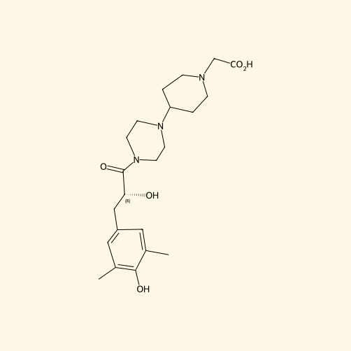 Cc1cc(C[C@@H](O)C(=O)N2CCN(C3CCN(CC(=O)O)CC3)CC2)cc(C)c1O